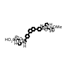 COC(=O)NC(C(=O)N1CCC[C@H]1c1nc2cc(-c3ccc4ccc(-c5ccc(-c6c[nH]c([C@@H]7CCCN7C(=O)C(NC(=O)O)C(C)C)n6)cc5)cc4c3)ccc2[nH]1)C(C)C